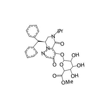 COC(=O)C1OC(Oc2c3n(ncc2=O)[C@@H](C(c2ccccc2)c2ccccc2)CN(C(C)C)C3=O)C(O)C(O)C1O